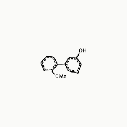 COc1ccccc1-c1cccc(O)c1